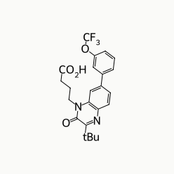 CC(C)(C)c1nc2ccc(-c3cccc(OC(F)(F)F)c3)cc2n(CCCC(=O)O)c1=O